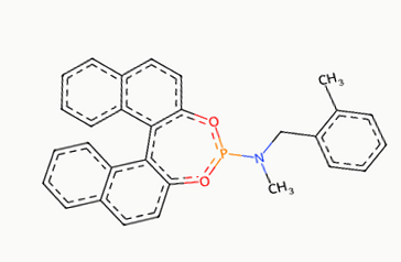 Cc1ccccc1CN(C)p1oc2ccc3ccccc3c2c2c(ccc3ccccc32)o1